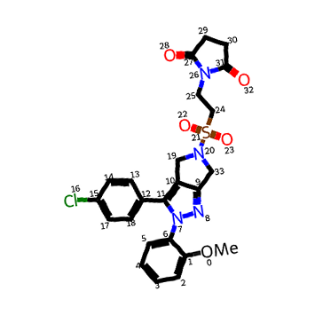 COc1ccccc1-n1nc2c(c1-c1ccc(Cl)cc1)CN(S(=O)(=O)CCN1C(=O)CCC1=O)C2